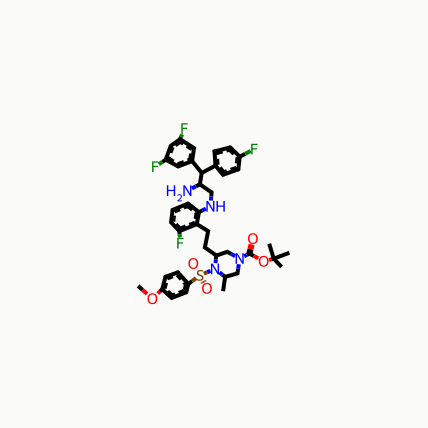 COc1ccc(S(=O)(=O)N2C(C)CN(C(=O)OC(C)(C)C)CC2CCc2c(F)cccc2NCC(N)C(c2ccc(F)cc2)c2cc(F)cc(F)c2)cc1